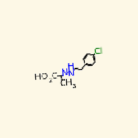 CC(=NNCCc1ccc(Cl)cc1)C(=O)O